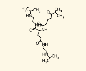 CC(C)NCCNC(=O)CC[C@H](NC(=O)CCCC(=O)C(C)C)C(=O)NCCNC(C)C